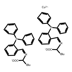 CC(C)(C)C(/N=C\c1ccccc1P(c1ccccc1)c1ccccc1)C(=O)[O-].CC(C)(C)C(/N=C\c1ccccc1P(c1ccccc1)c1ccccc1)C(=O)[O-].[Cu+2]